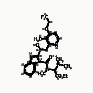 CCOC(=O)C(N(C)C)N(C)C(=O)n1c([S+]([O-])Cc2nccc(OCC(F)(F)F)c2C)nc2ccccc21